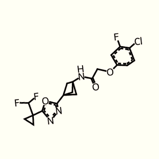 O=C(COc1ccc(Cl)c(F)c1)NC12CC(c3nnc(C4(C(F)F)CC4)o3)(C1)C2